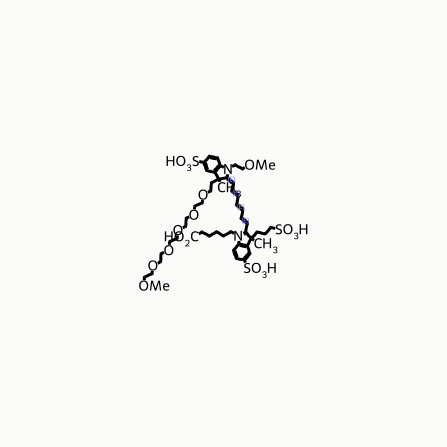 COCCOCCOCCOCCOCCOCCC1(C)\C(=C/C=C/C=C/C=C/C2=[N+](CCCCCC(=O)O)c3ccc(S(=O)(=O)O)cc3C2(C)CCCS(=O)(=O)O)N(CCOC)c2ccc(S(=O)(=O)O)cc21